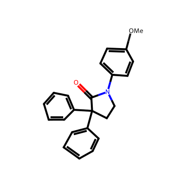 COc1ccc(N2CCC(c3ccccc3)(c3ccccc3)C2=O)cc1